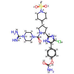 CS(=O)(=O)N1CCC([C@H]2C[C@@H](c3nc(Cl)c(-c4ccc(OC(N)=O)cc4)[nH]3)N(C(=O)N3CCN(C(=N)N)CC3)C2)CC1